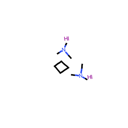 C1CCC1.CN(C)C.CN(C)C.I.I